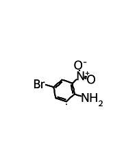 Nc1[c]cc(Br)cc1[N+](=O)[O-]